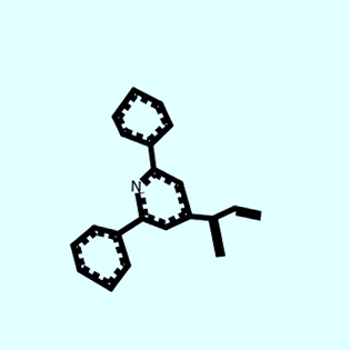 C=CC(=C)c1cc(-c2ccccc2)nc(-c2ccccc2)c1